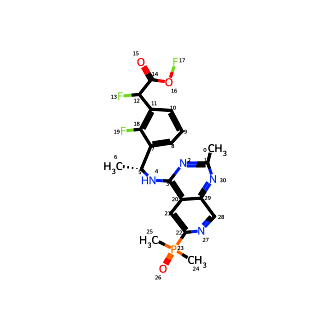 Cc1nc(N[C@H](C)c2cccc(C(F)C(=O)OF)c2F)c2cc(P(C)(C)=O)ncc2n1